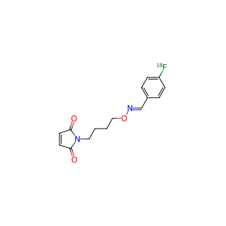 O=C1C=CC(=O)N1CCCCON=Cc1ccc([18F])cc1